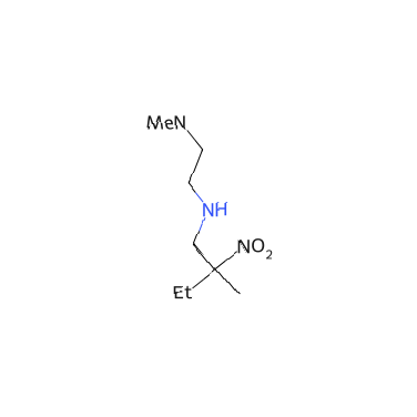 CCC(C)(CNCCNC)[N+](=O)[O-]